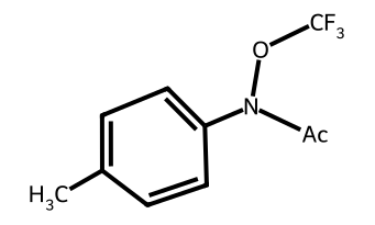 CC(=O)N(OC(F)(F)F)c1ccc(C)cc1